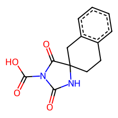 O=C(O)N1C(=O)NC2(CCc3ccccc3C2)C1=O